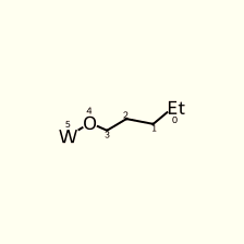 CCCCC[O][W]